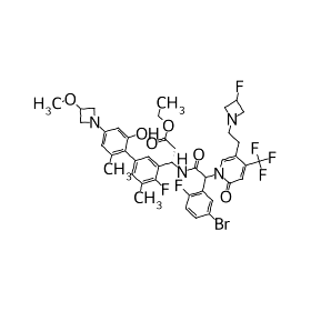 CCOC(=O)C[C@H](NC(=O)C(c1cc(Br)ccc1F)n1cc(CCN2CC(F)C2)c(C(F)(F)F)cc1=O)c1cc(-c2c(C)cc(N3CC(OC)C3)cc2O)cc(C)c1F